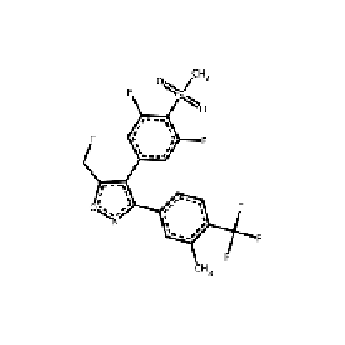 Cc1cc(-c2noc(CF)c2-c2cc(F)c(S(C)(=O)=O)c(F)c2)ccc1C(F)(F)F